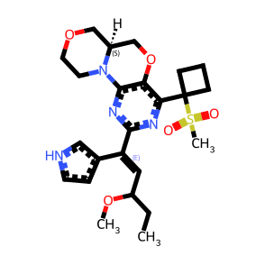 CCC(/C=C(\c1cc[nH]c1)c1nc2c(c(C3(S(C)(=O)=O)CCC3)n1)OC[C@@H]1COCCN21)OC